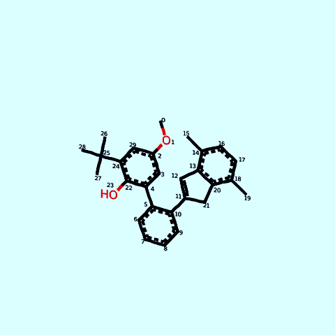 COc1cc(-c2ccccc2C2=Cc3c(C)ccc(C)c3C2)c(O)c(C(C)(C)C)c1